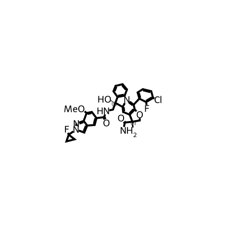 COc1cc(C(=O)NC[C@@](O)(c2ccccc2)c2cc3c(c(-c4cccc(Cl)c4F)n2)OC[C@]3(C)C(N)=O)cc2cn(C3(F)CC3)nc12